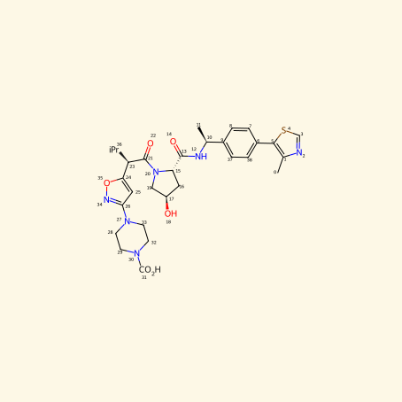 Cc1ncsc1-c1ccc([C@H](C)NC(=O)[C@@H]2C[C@@H](O)CN2C(=O)[C@@H](c2cc(N3CCN(C(=O)O)CC3)no2)C(C)C)cc1